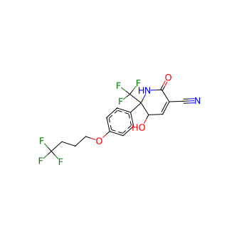 N#CC1=CC(O)C(c2ccc(OCCCC(F)(F)F)cc2)(C(F)(F)F)NC1=O